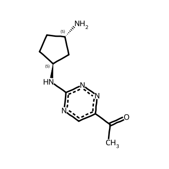 CC(=O)c1cnc(N[C@H]2CC[C@H](N)C2)nn1